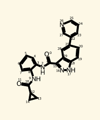 O=C(Nc1ccccc1NC(=O)C1CC1)c1n[nH]c2ccc(-c3cccnc3)cc12